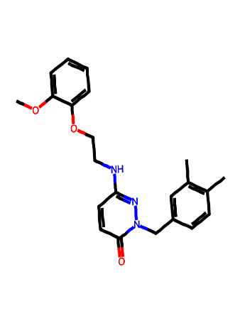 COc1ccccc1OCCNc1ccc(=O)n(Cc2ccc(C)c(C)c2)n1